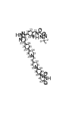 CC(C)(C)c1noc(C(=O)NCc2ccc(-c3n[nH]c4ncc(-c5ccc(C6CCN(CCC7CCN(c8ccc(N9CCC(=O)NC9=O)cc8)CC7)CC6)cc5)cc34)cc2F)n1